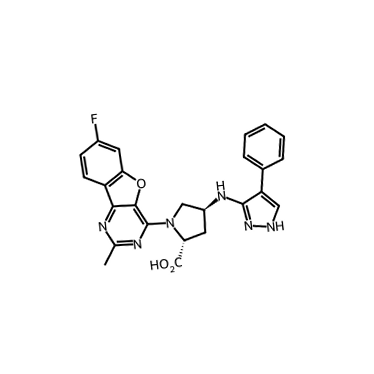 Cc1nc(N2C[C@@H](Nc3n[nH]cc3-c3ccccc3)C[C@@H]2C(=O)O)c2oc3cc(F)ccc3c2n1